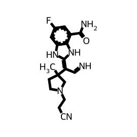 CC1(/C(C=N)=C2\Nc3cc(F)cc(C(N)=O)c3N2)CCN(CCC#N)C1